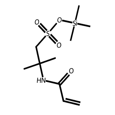 C=CC(=O)NC(C)(C)CS(=O)(=O)O[Si](C)(C)C